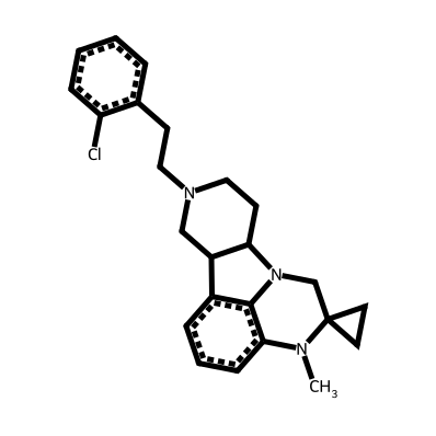 CN1c2cccc3c2N(CC12CC2)C1CCN(CCc2ccccc2Cl)CC31